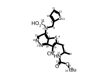 CC(Cc1sc2c(N(Cc3cccs3)C(=O)O)cnnc2c1C#N)NC(=O)OC(C)(C)C